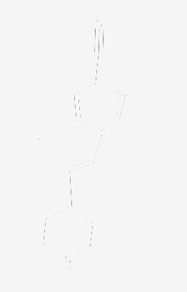 Cc1cc(C=CC2CCNCC2)ccc1C#N.Cl